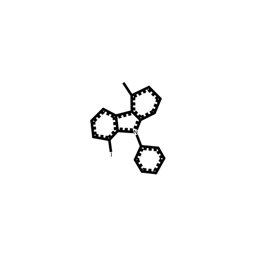 Cc1cccc2c1c1cccc(I)c1n2-c1ccccc1